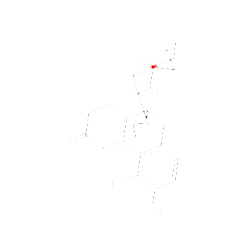 O=C1CC[C@@]2(OCC(O)CO)[C@H]3Cc4ccc(O)c(O)c4[C@@]2(CCN3CC2CC2)C1